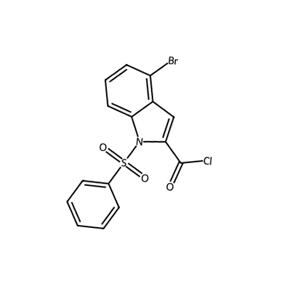 O=C(Cl)c1cc2c(Br)cccc2n1S(=O)(=O)c1ccccc1